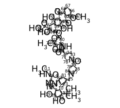 CCNC(=O)c1nnc(-c2cc(C(C)C)c(O)cc2O)n1-c1ccc(CN2CCC(C(=O)N3CCC(C(=O)N[C@H]4C[C@H](O[C@H]5C[C@](O)(C(=O)CO)Cc6c(O)c7c(c(O)c65)C(=O)c5c(OC)cccc5C7=O)O[C@@H](C)[C@H]4O)CC3)CC2)cc1